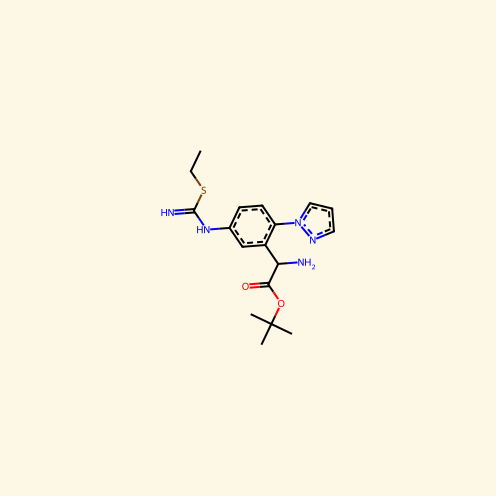 CCSC(=N)Nc1ccc(-n2cccn2)c(C(N)C(=O)OC(C)(C)C)c1